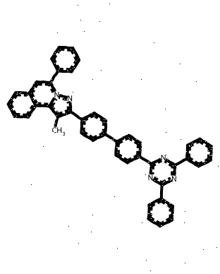 Cc1c(-c2ccc(-c3ccc(-c4nc(-c5ccccc5)nc(-c5ccccc5)n4)cc3)cc2)nn2c(-c3ccccc3)cc3ccccc3c12